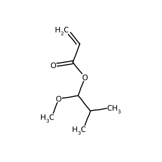 C=CC(=O)OC(OC)C(C)C